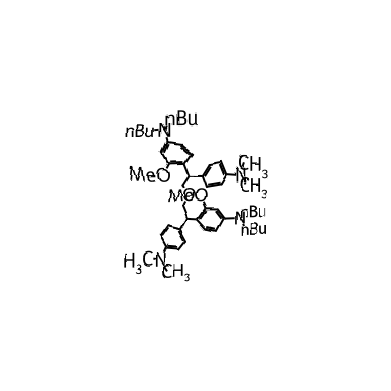 CCCCN(CCCC)c1ccc(C(COCC(c2ccc(N(C)C)cc2)c2ccc(N(CCCC)CCCC)cc2OC)c2ccc(N(C)C)cc2)c(OC)c1